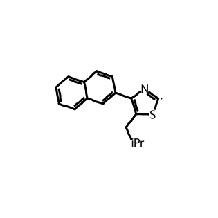 CC(C)Cc1s[c]nc1-c1ccc2ccccc2c1